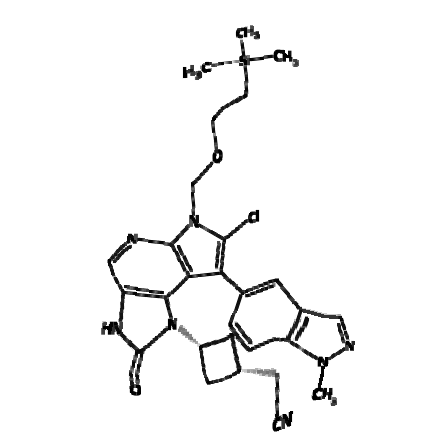 Cn1ncc2cc(-c3c(Cl)n(COCC[Si](C)(C)C)c4ncc5[nH]c(=O)n([C@H]6C[C@@H](CC#N)C6)c5c34)ccc21